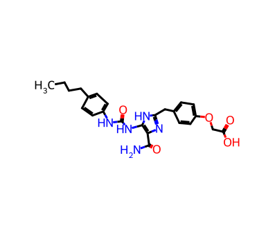 CCCCc1ccc(NC(=O)Nc2[nH]c(Cc3ccc(OCC(=O)O)cc3)nc2C(N)=O)cc1